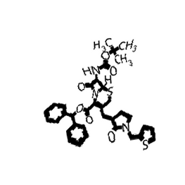 CC(C)(C)OC(=O)N[C@@H]1C(=O)N2C(C(=O)OC(c3ccccc3)c3ccccc3)=C(C=C3CCN(Cc4cccs4)C3=O)CS[C@H]12